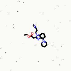 CCOC(=O)Cc1nc2c(N3CCCCC3)cccc2n1CCC#N